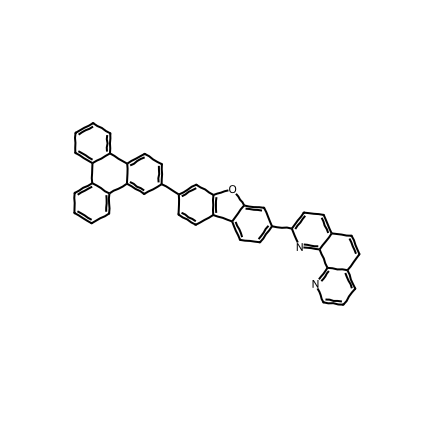 c1cnc2c(c1)ccc1ccc(-c3ccc4c(c3)oc3cc(-c5ccc6c7ccccc7c7ccccc7c6c5)ccc34)nc12